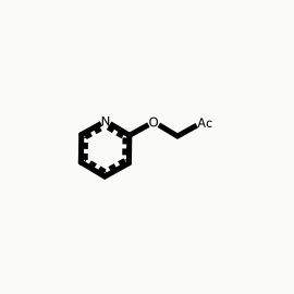 CC(=O)COc1ccccn1